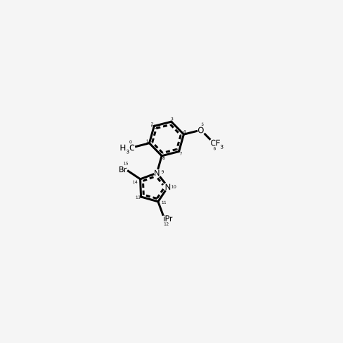 Cc1[c]cc(OC(F)(F)F)cc1-n1nc(C(C)C)cc1Br